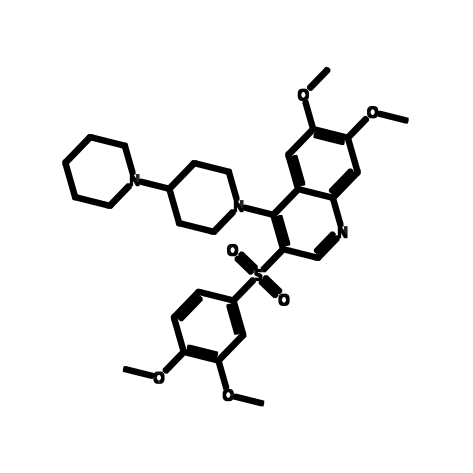 COc1ccc(S(=O)(=O)c2cnc3cc(OC)c(OC)cc3c2N2CCC(N3CCCCC3)CC2)cc1OC